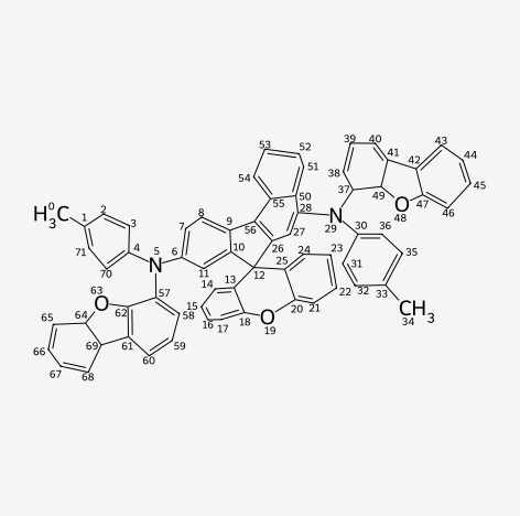 Cc1ccc(N(c2ccc3c(c2)C2(c4ccccc4Oc4ccccc42)c2cc(N(c4ccc(C)cc4)C4C=CC=C5c6ccccc6OC54)c4ccccc4c2-3)c2cccc3c2OC2C=CC=CC32)cc1